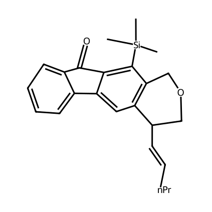 CCCC=CC1COCc2c1cc1c(c2[Si](C)(C)C)C(=O)c2ccccc2-1